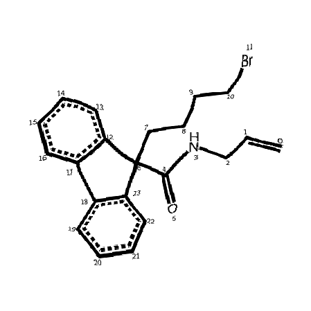 C=CCNC(=O)C1(CCCCBr)c2ccccc2-c2ccccc21